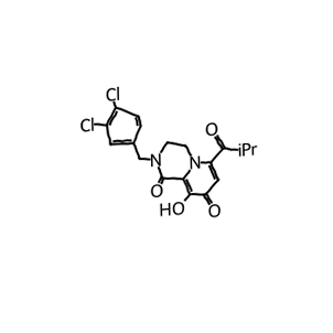 CC(C)C(=O)c1cc(=O)c(O)c2n1CCN(Cc1ccc(Cl)c(Cl)c1)C2=O